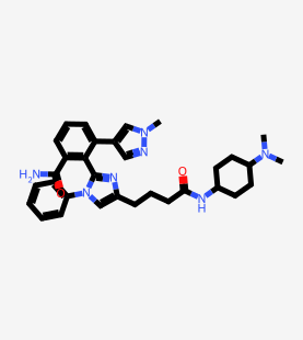 CN(C)C1CCC(NC(=O)CCCc2cn(-c3ccccc3)c(-c3c(C(N)=O)cccc3-c3cnn(C)c3)n2)CC1